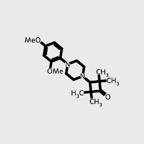 COc1ccc(N2CCN(C3C(C)(C)C(=O)C3(C)C)CC2)c(OC)c1